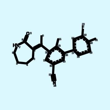 C/C(=C1/CCCCNC1=O)c1cc(C#N)cc(-c2ccc(C)c(F)c2)c1C